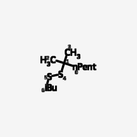 CCCCCC(C)(C)SSC(C)CC